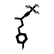 C[Si](C)(C)C#CC(O)COc1ccc(F)cc1